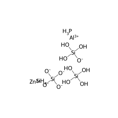 O[Si](O)(O)O.P.[Al+3].[O-][Si](O)(O)O.[O-][Si]([O-])([O-])[O-].[SiH4].[Zn+2]